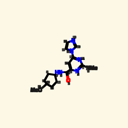 CNc1nc(C(=O)NC2CCC(OC)CC2)cc(-n2ccnc2)n1